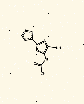 Nc1nn(-c2ccsc2)cc1NC(=O)O